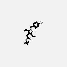 CCc1nn(Cc2ccc(Br)cc2F)c(CC)c1CC(=O)OC(C)(C)C